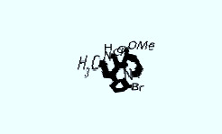 COC(=O)c1cccnc1C1=C(C)NC(C)=CC1c1cccc(Br)c1